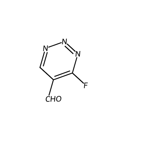 O=Cc1cnnnc1F